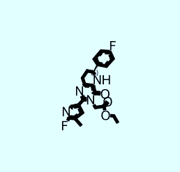 CCOC(=O)Cn1c(-c2cnc(F)c(C)c2)nc2c(c1=O)N[C@H](c1ccc(F)cc1)CC2